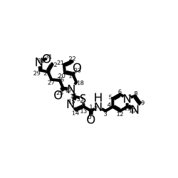 O=C(NCc1ccn2ccnc2c1)c1cnc(N(Cc2ccco2)C(=O)CCc2cnoc2)s1